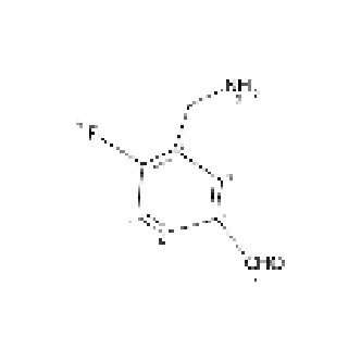 NCc1cc(C=O)ccc1F